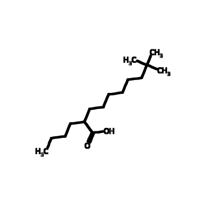 CCCCC(CCCCCCC(C)(C)C)C(=O)O